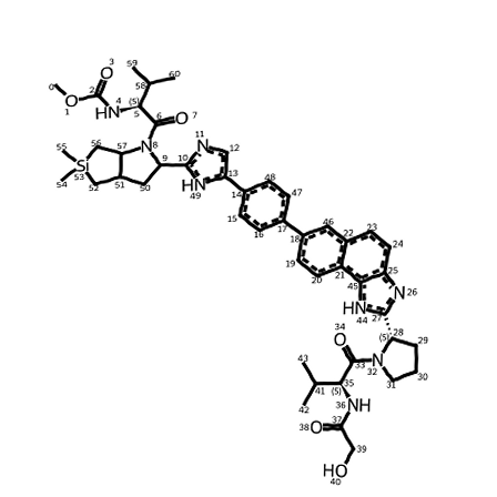 COC(=O)N[C@H](C(=O)N1C(c2ncc(-c3ccc(-c4ccc5c(ccc6nc([C@@H]7CCCN7C(=O)[C@@H](NC(=O)CO)C(C)C)[nH]c65)c4)cc3)[nH]2)CC2C[Si](C)(C)CC21)C(C)C